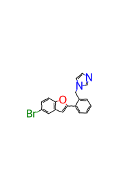 Brc1ccc2oc(-c3ccccc3Cn3ccnc3)cc2c1